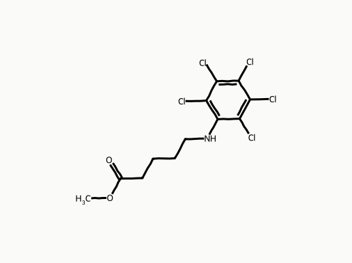 COC(=O)CCCCNc1c(Cl)c(Cl)c(Cl)c(Cl)c1Cl